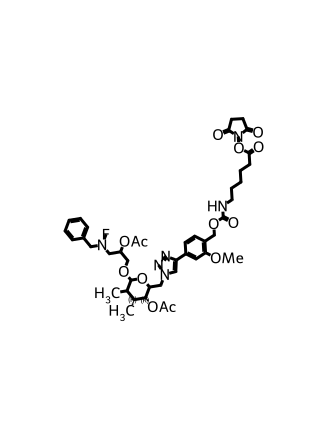 COc1cc(-c2cn(CC3OC(OCC(CN(F)Cc4ccccc4)OC(C)=O)C(C)[C@@H](C)[C@H]3OC(C)=O)nn2)ccc1COC(=O)NCCCCCC(=O)ON1C(=O)CCC1=O